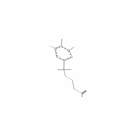 COC(=O)CCCC(C)(C)c1cc(C(C)(C)C)c(O)c(C(C)(C)C)c1